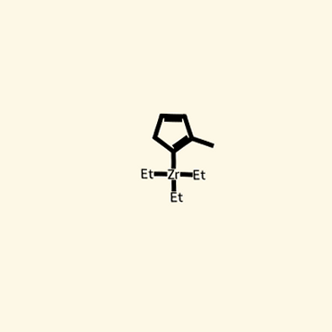 C[CH2][Zr]([CH2]C)([CH2]C)[C]1=C(C)C=CC1